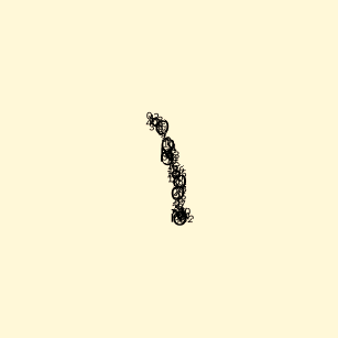 Cc1ccc(OCCCCOCc2cc(CCc3ccc(OCCOCCCCc4cc(C)on4)cc3)on2)cc1